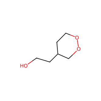 OCCC1CCOOC1